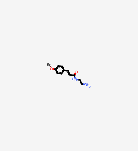 CCOc1ccc(C=CC(=O)NCCN)cc1